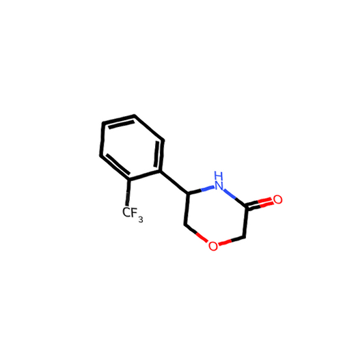 O=C1COCC(c2ccccc2C(F)(F)F)N1